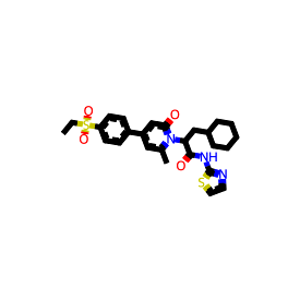 CCS(=O)(=O)c1ccc(-c2cc(C)n(C(CC3CCCCC3)C(=O)Nc3nccs3)c(=O)c2)cc1